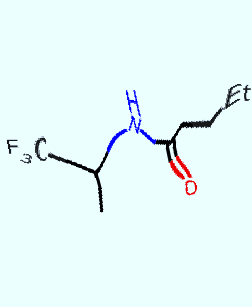 CCC(=O)NC(C)C(F)(F)F